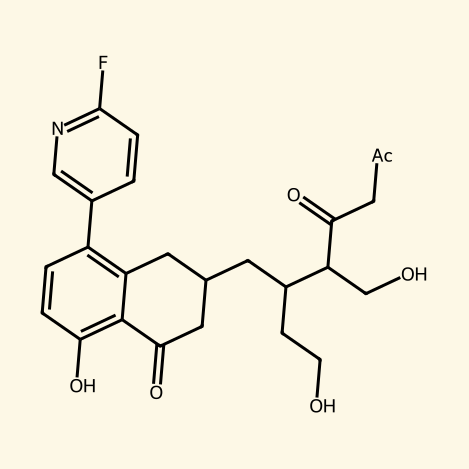 CC(=O)CC(=O)C(CO)C(CCO)CC1CC(=O)c2c(O)ccc(-c3ccc(F)nc3)c2C1